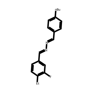 CCCCc1ccc(C=NN=Cc2ccc(CC)c(F)c2)cc1